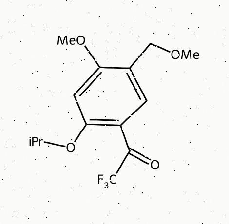 COCc1cc(C(=O)C(F)(F)F)c(OC(C)C)cc1OC